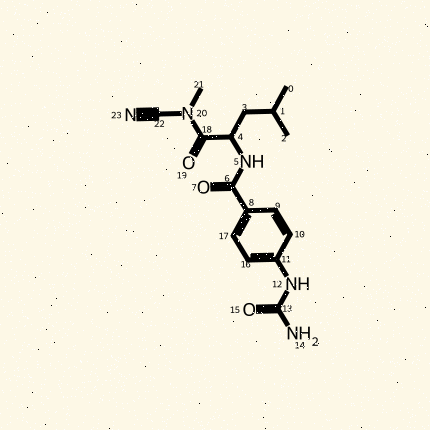 CC(C)CC(NC(=O)c1ccc(NC(N)=O)cc1)C(=O)N(C)C#N